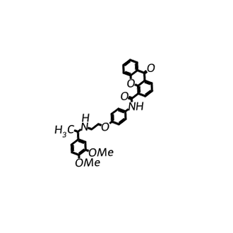 COc1ccc(C(C)NCCOc2ccc(NC(=O)c3cccc4c(=O)c5ccccc5oc34)cc2)cc1OC